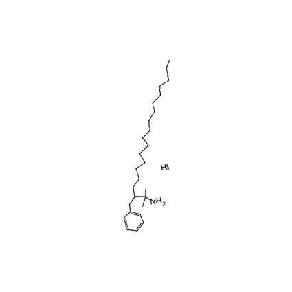 CCCCCCCCCCCCCCCCC(Cc1ccccc1)C(C)(C)N.I